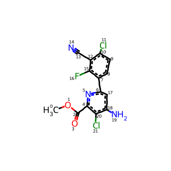 COC(=O)c1nc(-c2ccc(Cl)c(C#N)c2F)cc(N)c1Cl